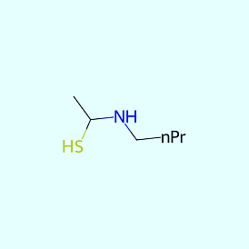 CCCCNC(C)S